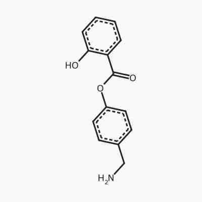 NCc1ccc(OC(=O)c2ccccc2O)cc1